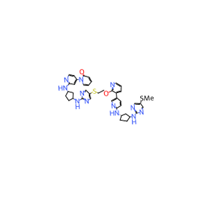 CSc1cnc(NC2CC[C@H](Nc3ccc(-c4cccnc4OCCSc4cnc(N[C@H]5CC[C@H](Nc6cc(-n7ccccc7=O)ccn6)C5)nc4)cn3)C2)nc1